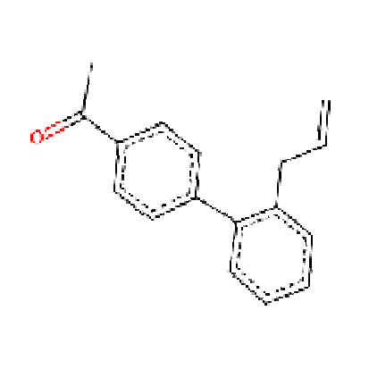 C=CCc1ccccc1-c1ccc(C(C)=O)cc1